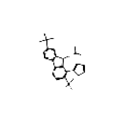 C[C](C)=[Zr][CH]1c2cc(C(C)(C)C)ccc2-c2ccc(C(C)(C)C)c(C3=CC=CC3)c21